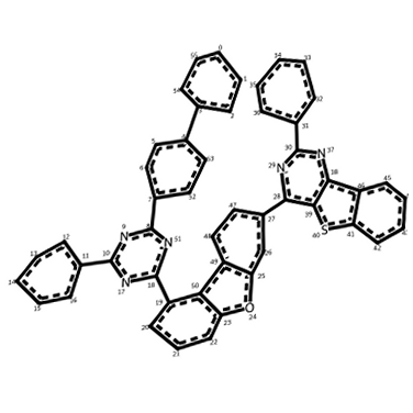 c1ccc(-c2ccc(-c3nc(-c4ccccc4)nc(-c4cccc5oc6cc(-c7nc(-c8ccccc8)nc8c7sc7ccccc78)ccc6c45)n3)cc2)cc1